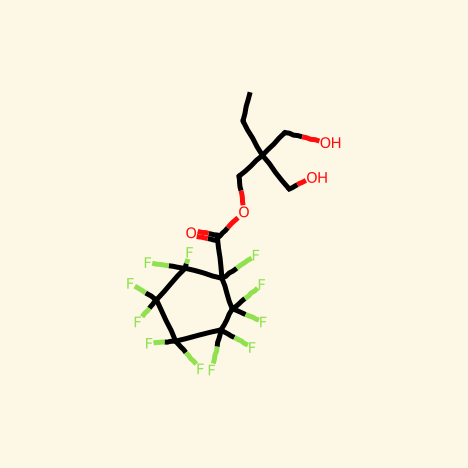 CCC(CO)(CO)COC(=O)C1(F)C(F)(F)C(F)(F)C(F)(F)C(F)(F)C1(F)F